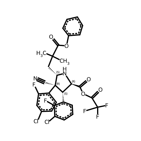 CC(C)(C[C@@H]1N[C@@H](C(=O)OC(=O)C(F)(F)F)[C@H](c2cccc(Cl)c2F)[C@@]1(C#N)c1ccc(Cl)cc1F)C(=O)Oc1ccccc1